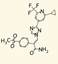 CS(=O)(=O)c1ccc(/C(=C\n2cnc(-c3cc(C4CC4)nc(C(F)(F)F)c3)n2)C(N)=O)cc1